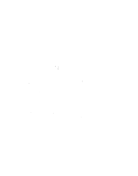 O=c1oc2ccc(F)cc2c2ncccc12